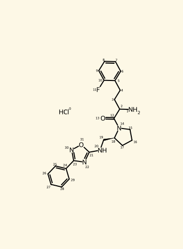 Cl.NC(CCc1ccccc1F)C(=O)N1CCC[C@H]1CNc1nc(-c2ccccc2)no1